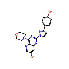 COc1ccc(-c2ccn(-c3nc(N4CCOCC4)c4ncc(Br)cc4n3)n2)cc1